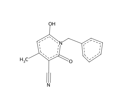 Cc1cc(O)n(Cc2ccccc2)c(=O)c1C#N